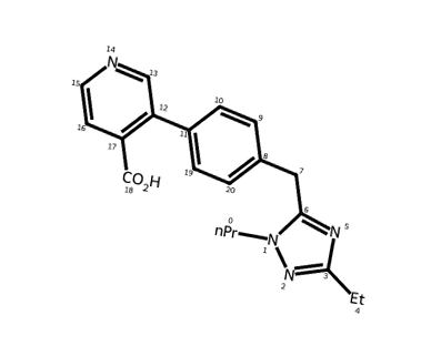 CCCn1nc(CC)nc1Cc1ccc(-c2cnccc2C(=O)O)cc1